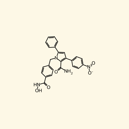 NC(=O)c1c(-c2ccc([N+](=O)[O-])cc2)cc(-c2ccccc2)n1Cc1ccc(C(=O)NO)cc1